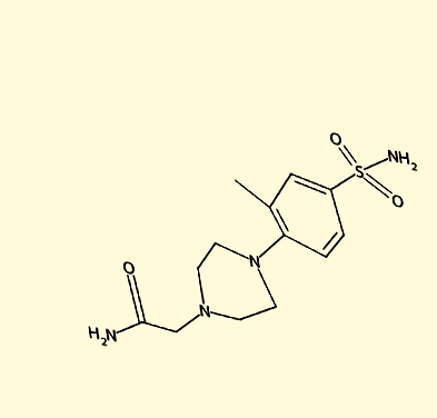 Cc1cc(S(N)(=O)=O)ccc1N1CCN(CC(N)=O)CC1